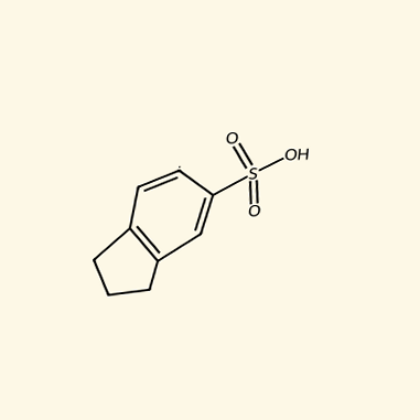 O=S(=O)(O)c1[c]cc2c(c1)CCC2